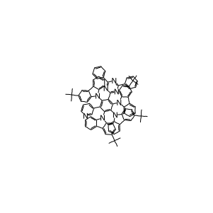 CC(C)(C)c1ccc2c(c1)c1ccccc1n2-c1c(-c2cccnc2)c(-n2c3ccccc3c3cc(C(C)(C)C)ccc32)c(-n2c3ccccc3c3cc(C(C)(C)C)ccc32)c(-n2c3ccccc3c3cc(C(C)(C)C)ccc32)c1-c1nc(-c2ccccc2)nc(-c2ccccc2)n1